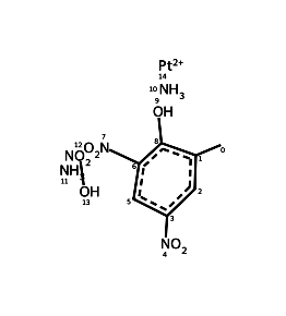 Cc1cc([N+](=O)[O-])cc([N+](=O)[O-])c1O.N.N.O=[N+]([O-])O.[Pt+2]